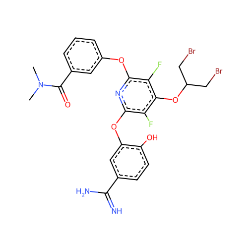 CN(C)C(=O)c1cccc(Oc2nc(Oc3cc(C(=N)N)ccc3O)c(F)c(OC(CBr)CBr)c2F)c1